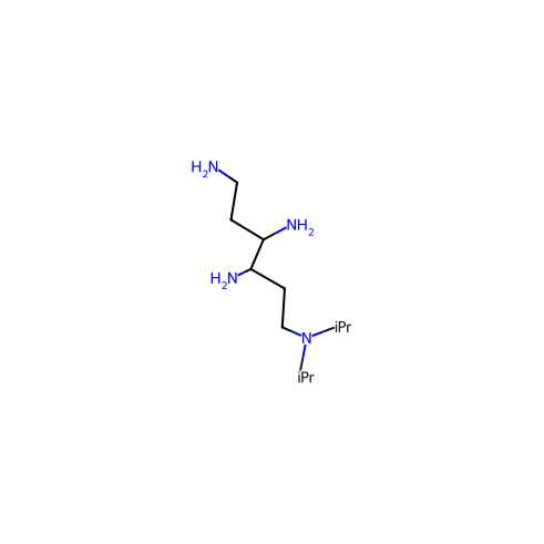 CC(C)N(CCC(N)C(N)CCN)C(C)C